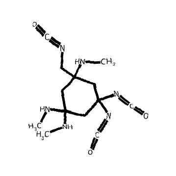 CNC1(CN=C=O)CC(N=C=O)(N=C=O)CC(NC)(NC)C1